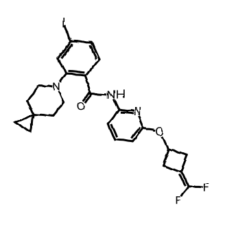 O=C(Nc1cccc(OC2CC(=C(F)F)C2)n1)c1ccc(I)cc1N1CCC2(CC1)CC2